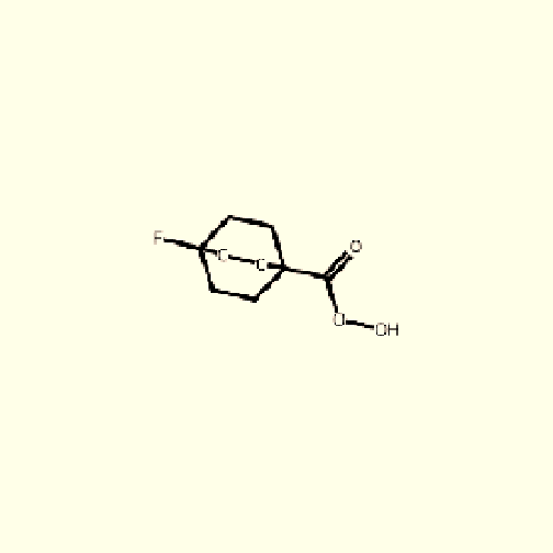 O=C(OO)C12CCC(F)(CC1)CC2